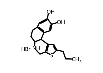 Br.CCCc1cc2c(s1)CNC1CCc3cc(O)c(O)cc3C21